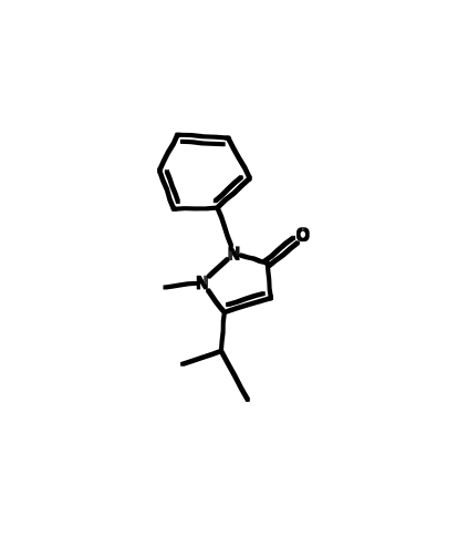 CC(C)c1cc(=O)n(-c2ccccc2)n1C